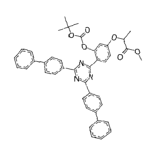 COC(=O)C(C)Oc1ccc(-c2nc(-c3ccc(-c4ccccc4)cc3)nc(-c3ccc(-c4ccccc4)cc3)n2)c(OC(=O)OC(C)(C)C)c1